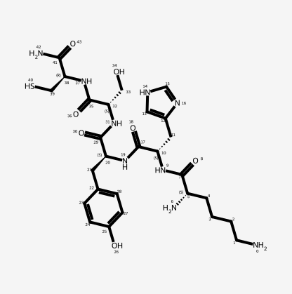 NCCCC[C@H](N)C(=O)N[C@@H](Cc1c[nH]cn1)C(=O)N[C@@H](Cc1ccc(O)cc1)C(=O)N[C@@H](CO)C(=O)N[C@@H](CS)C(N)=O